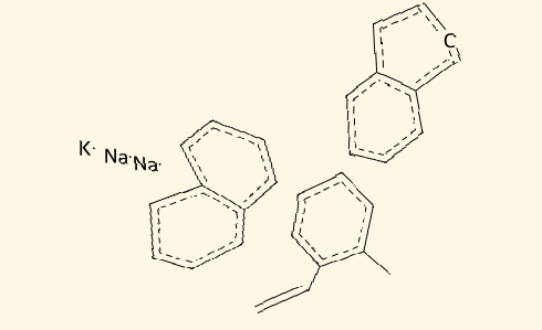 C=Cc1ccccc1C.[K].[Na].[Na].c1ccc2ccccc2c1.c1ccc2ccccc2c1